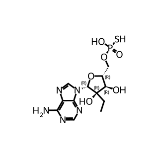 CC[C@@]1(O)[C@H](O)[C@@H](COP(=O)(O)S)O[C@H]1n1cnc2c(N)ncnc21